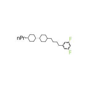 CCC[C@H]1CC[C@H](C2CCC(CCCCc3cc(F)cc(F)c3)CC2)CC1